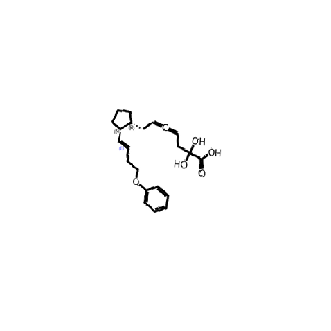 O=C(O)C(O)(O)CC=C=CC[C@H]1CCC[C@@H]1/C=C/CCOc1ccccc1